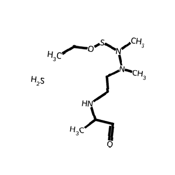 CCOSN(C)N(C)CCNC(C)C=O.S